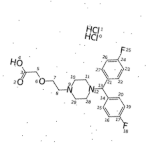 Cl.Cl.O=C(O)COCCN1CCN(C(c2ccc(F)cc2)c2ccc(F)cc2)CC1